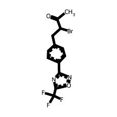 CC(=O)C(Br)Cc1ccc(-c2noc(C(F)(F)F)n2)cc1